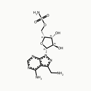 NCc1nn([C@@H]2O[C@H](COS(N)(=O)=O)[C@H](O)[C@H]2O)c2ncnc(N)c12